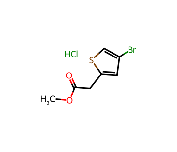 COC(=O)Cc1cc(Br)cs1.Cl